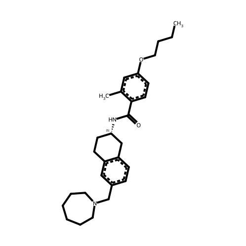 CCCCOc1ccc(C(=O)N[C@H]2CCc3cc(CN4CCCCCC4)ccc3C2)c(C)c1